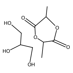 CC1OC(=O)C(C)OC1=O.OCC(O)CO